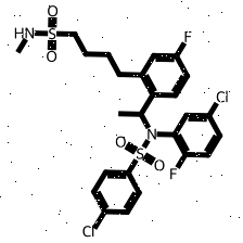 CNS(=O)(=O)CCCCc1cc(F)ccc1C(C)N(c1cc(Cl)ccc1F)S(=O)(=O)c1ccc(Cl)cc1